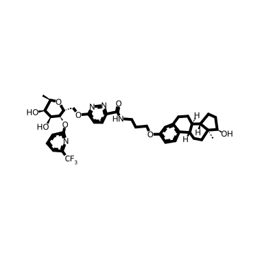 C[C@H]1O[C@H](COc2ccc(C(=O)NCCCOc3ccc4c(c3)CC[C@@H]3[C@@H]4CC[C@]4(C)[C@@H](O)CC[C@@H]34)nn2)[C@H](Oc2cccc(C(F)(F)F)n2)[C@@H](O)[C@H]1O